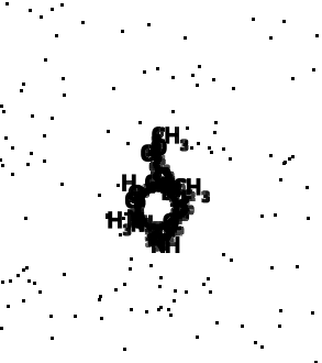 CCOC(=O)CCc1cccc(C2(C)CCS(=O)(=O)Cc3nnn(c3C)Cc3c(c(F)cc4[nH]ccc34)Oc3ccc(F)c(c3)-c3nc2nn3C)c1